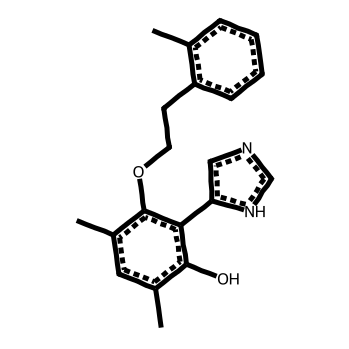 Cc1ccccc1CCOc1c(C)cc(C)c(O)c1-c1cnc[nH]1